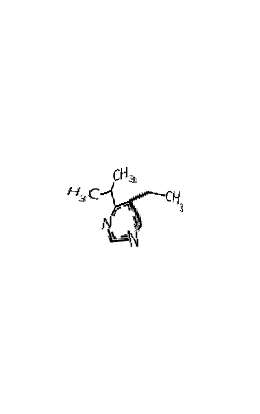 CCc1cncnc1C(C)C